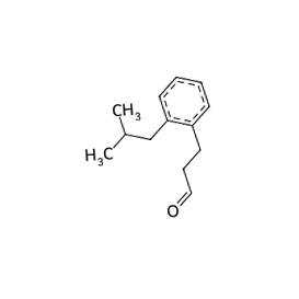 CC(C)Cc1ccccc1CCC=O